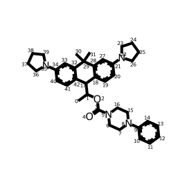 CC(OC(=O)N1CCN(c2ccccc2)CC1)C1c2ccc(N3CCCC3)cc2C(C)(C)c2cc(N3CCCC3)ccc21